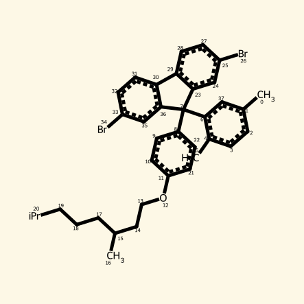 Cc1ccc(C)c(C2(c3ccc(OCCC(C)CCCC(C)C)cc3)c3cc(Br)ccc3-c3ccc(Br)cc32)c1